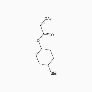 CC(=O)OCC(=O)OC1CCC(C(C)(C)C)CC1